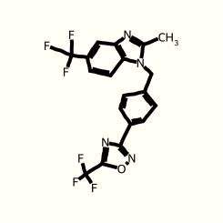 Cc1nc2cc(C(F)(F)F)ccc2n1Cc1ccc(-c2noc(C(F)(F)F)n2)cc1